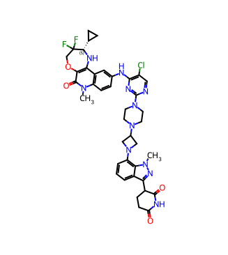 Cn1nc(C2CCC(=O)NC2=O)c2cccc(N3CC(N4CCN(c5ncc(Cl)c(Nc6ccc7c(c6)c6c(c(=O)n7C)OCC(F)(F)[C@H](C7CC7)N6)n5)CC4)C3)c21